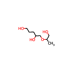 CC(CO)OCC(O)CCCO